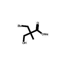 CCC(C)CC(C)(CO)C(=O)OC